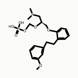 COc1cccc(CCc2ccccc2OC[C@H](CN(C)C)OCOP(=O)(O)O)c1